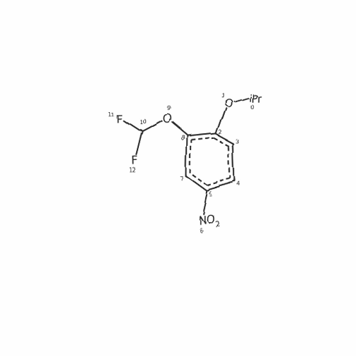 CC(C)Oc1ccc([N+](=O)[O-])cc1OC(F)F